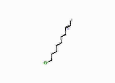 C/C=C/CCCCCCCCl